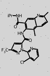 Cc1ccc2c(C)c(NC(=O)c3cc(C(F)(F)F)nn3-c3ncccc3Cl)c(C(=O)NC(C)C)cc2n1